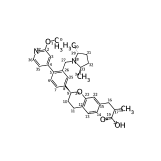 COc1cc(-c2ccc([C@@H]3CCc4ccc(CC(C)C(=O)O)cc4O3)cc2CN2[C@H](C)CC[C@H]2C)ccn1